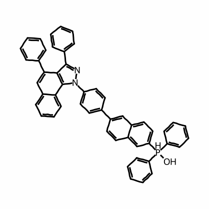 O[PH](c1ccccc1)(c1ccccc1)c1ccc2cc(-c3ccc(-n4nc(-c5ccccc5)c5c(-c6ccccc6)cc6ccccc6c54)cc3)ccc2c1